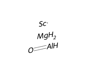 [MgH2].[O]=[AlH].[Sc]